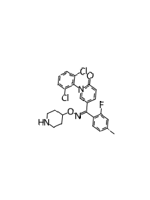 Cc1ccc(C(=NOC2CCNCC2)c2ccc(=O)n(-c3c(Cl)cccc3Cl)c2)c(F)c1